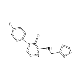 O=c1c(NCc2cccs2)nccn1-c1ccc(F)cc1